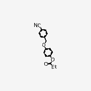 CCC(=O)Oc1ccc(OCc2ccc(C#N)cc2)cc1